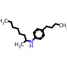 CCCCCCC(C)Nc1ccc(CCCC)cc1